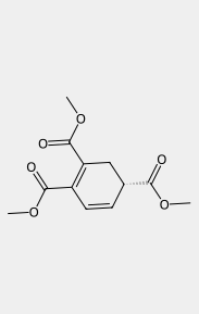 COC(=O)C1=C(C(=O)OC)C[C@H](C(=O)OC)C=C1